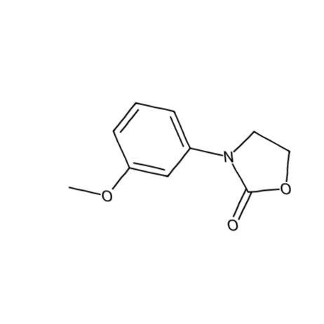 COc1cccc(N2CCOC2=O)c1